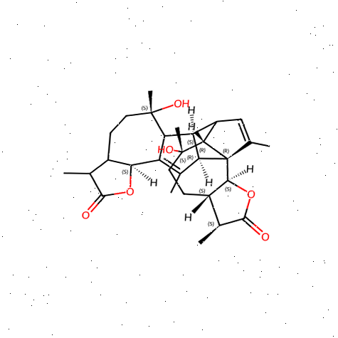 CC1=CC2[C@@H]3C4C(=C(C)[C@@H]3[C@@]13[C@@H]2[C@@](C)(O)CC[C@H]1[C@H](C)C(=O)O[C@@H]13)[C@H]1OC(=O)C(C)C1CC[C@]4(C)O